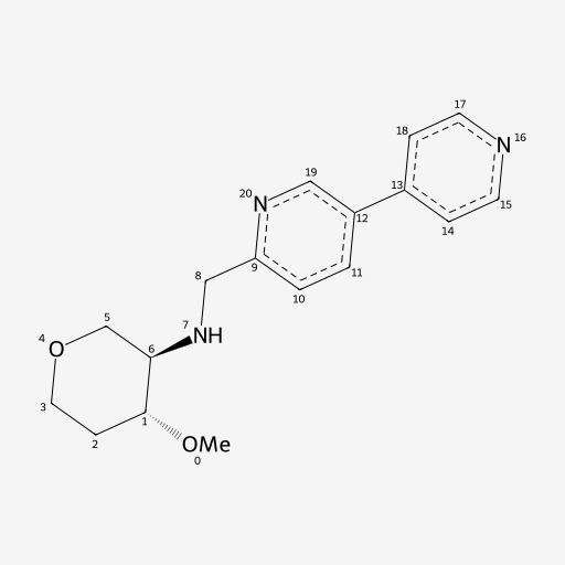 CO[C@@H]1CCOC[C@H]1NCc1ccc(-c2ccncc2)cn1